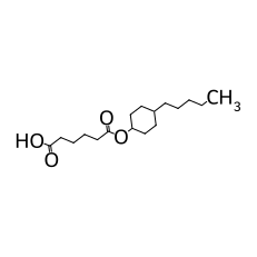 CCCCCC1CCC(OC(=O)CCCCC(=O)O)CC1